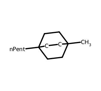 CCCCCC12CCC(C)(CC1)CC2